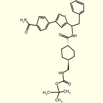 CC(C)(C)OC(=O)NC[C@H]1CC[C@H](C(=O)NC(Cc2ccccc2)c2cc(-c3ccc(C(N)=O)cc3)cs2)CC1